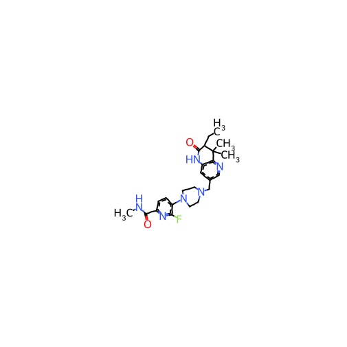 CCC1C(=O)Nc2cc(CN3CCN(c4ccc(C(=O)NC)nc4F)CC3)cnc2C1(C)C